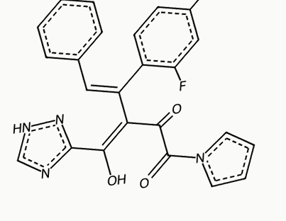 [CH2]c1ccc(C(=Cc2ccccc2)C(C(=O)C(=O)n2cccc2)=C(O)c2nc[nH]n2)c(F)c1